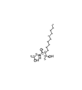 CCCCCCCCCCC(C(=O)NCC(C)O)C(C)O